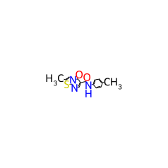 Cc1ccc(NC(=O)c2cnc3sc(C)cn3c2=O)cc1